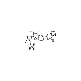 CCC(CCC(F)(F)F)NC(=O)N(CC)[C@H](C)c1cccc(-c2cn3ccnc3c(SC)n2)c1